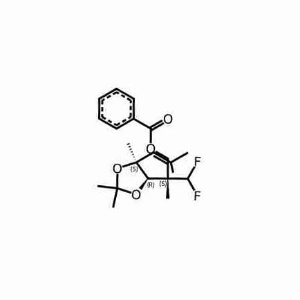 CC(C)=C[C@]1(C)OC(C)(C)O[C@@H]1[C@](C)(COC(=O)c1ccccc1)C(F)F